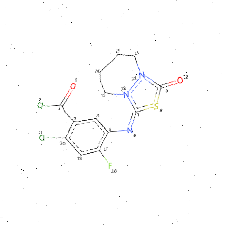 O=C(Cl)c1cc(/N=c2/sc(=O)n3n2CCCC3)c(F)cc1Cl